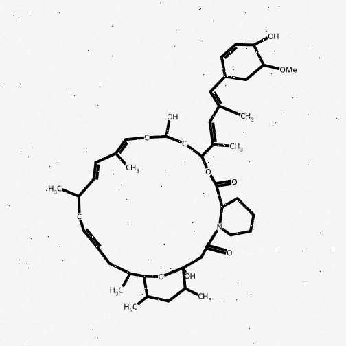 COC1CC(/C=C(C)/C=C(\C)C2CC(O)C/C=C(C)/C=C/C(C)C/C=C/CC(C)C3OC(O)(CC(=O)N4CCCCC4C(=O)O2)C(C)CC3C)C=CC1O